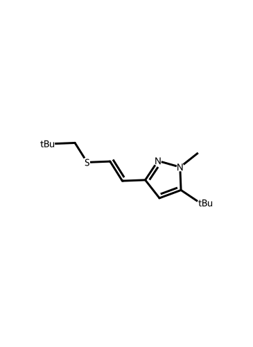 Cn1nc(C=CSCC(C)(C)C)cc1C(C)(C)C